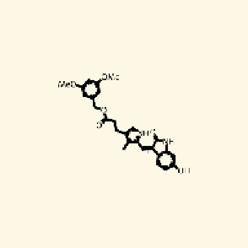 COc1cc(COC(=O)CCc2c[nH]c(/C=C3\C(=O)Nc4cc(O)ccc43)c2C)cc(OC)c1